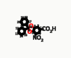 O=C(O)c1cc2c(c([N+](=O)[O-])c1)OC(c1ccccc1)(c1ccccc1)O2